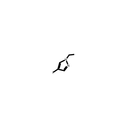 [CH2]Cn1cc(I)cn1